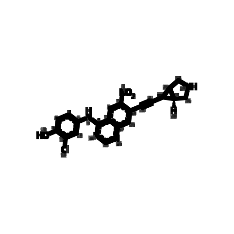 O=[N+]([O-])c1cc2c(Nc3ccc(O)c(Cl)c3)ncnc2cc1C#CC1C2CNC[C@@H]12